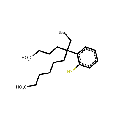 CC(C)(C)CC(CCCCCC(=O)O)(CCCC(=O)O)c1ccccc1S